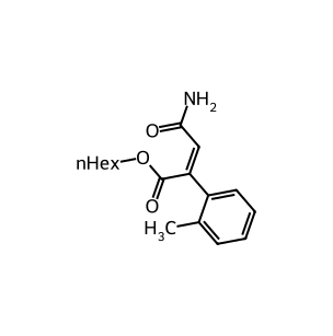 CCCCCCOC(=O)/C(=C\C(N)=O)c1ccccc1C